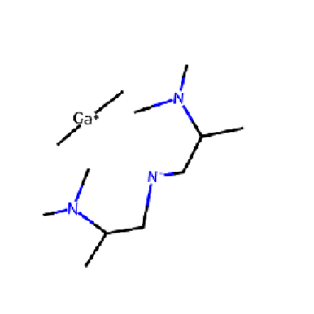 CC(C[N-]CC(C)N(C)C)N(C)C.[CH3][Ga+][CH3]